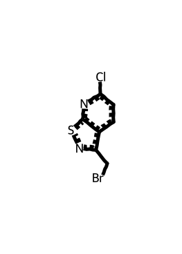 Clc1ccc2c(CBr)nsc2n1